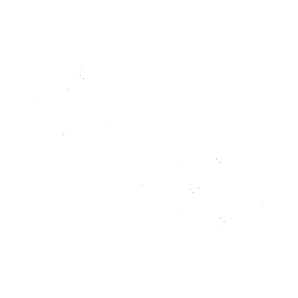 O=Nc1cccnc1N1CCC(=CC#Cc2ccnc(F)c2Br)CC1